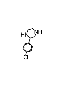 Clc1ccc(C2CNCCN2)cc1